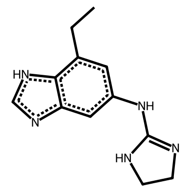 CCc1cc(NC2=NCCN2)cc2nc[nH]c12